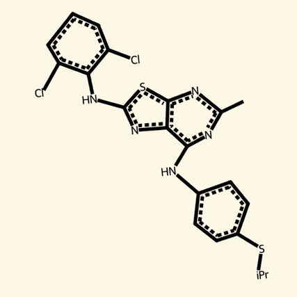 Cc1nc(Nc2ccc(SC(C)C)cc2)c2nc(Nc3c(Cl)cccc3Cl)sc2n1